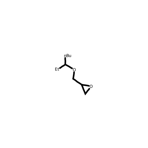 CCCCC(CC)OCC1CO1